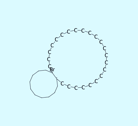 BrC12CCCCCCCCCCCCCCCCCCCCCCC[C]1CCCCCCCCCC2